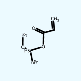 C=CC(=O)O[SiH](CCC)OC(C)C